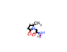 C=C1CCC(=O)N1CC(=O)NI